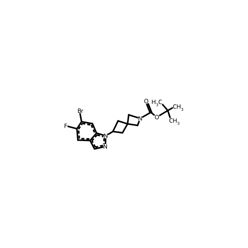 CC(C)(C)OC(=O)N1CC2(CC(n3ncc4cc(F)c(Br)cc43)C2)C1